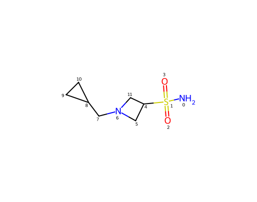 NS(=O)(=O)C1CN(CC2CC2)C1